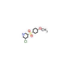 COc1ccc(S(=O)(=O)c2cncc(Cl)c2)cc1